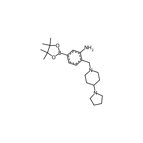 CC1(C)OB(c2ccc(CN3CCC(N4CCCC4)CC3)c(N)c2)OC1(C)C